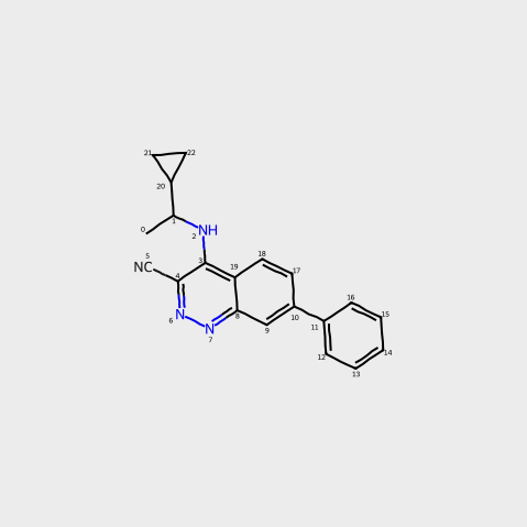 CC(Nc1c(C#N)nnc2cc(-c3ccccc3)ccc12)C1CC1